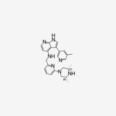 Cc1cncc(-c2c[nH]c3nccc(NCc4cccc(N5C[C@@H](C)N[C@@H](C)C5)n4)c23)c1